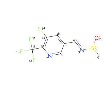 C[S+]([O-])/N=C/c1cnc(C(F)(F)F)c(F)c1